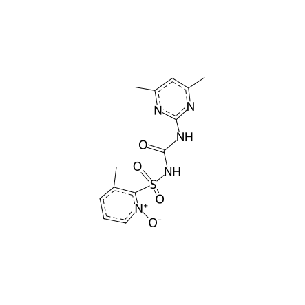 Cc1cc(C)nc(NC(=O)NS(=O)(=O)c2c(C)ccc[n+]2[O-])n1